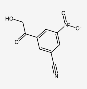 N#Cc1cc(C(=O)CO)cc([N+](=O)[O-])c1